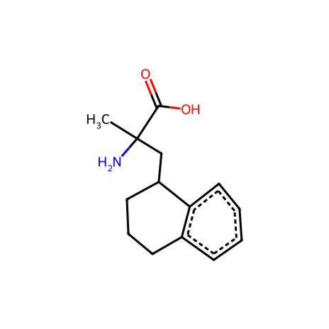 CC(N)(CC1CCCc2ccccc21)C(=O)O